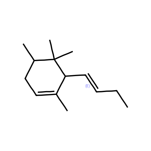 CC/C=C/C1C(C)=CCC(C)C1(C)C